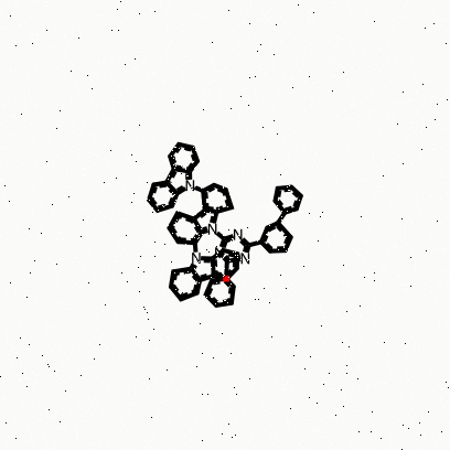 c1ccc(-c2cccc(-c3nc(-c4ccccc4)nc(-n4c5cccc(-n6c7ccccc7c7ccccc76)c5c5cccc(-n6c7ccccc7c7ccccc76)c54)n3)c2)cc1